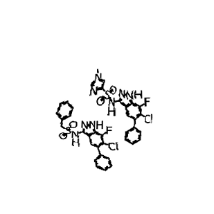 Cn1cnc(S(=O)(=O)Nc2n[nH]c3c(F)c(Cl)c(-c4ccccc4)cc23)c1.O=S(=O)(Cc1ccccc1)Nc1n[nH]c2c(F)c(Cl)c(-c3ccccc3)cc12